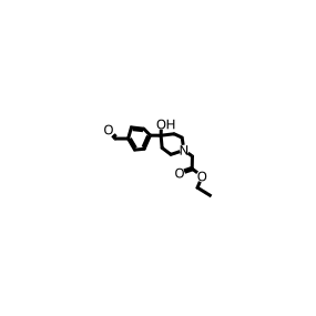 CCOC(=O)CN1CCC(O)(c2ccc(C=O)cc2)CC1